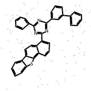 c1ccc(-c2cccc(-c3nc(-c4ccccc4)nc(-c4cccc5c4ccc4c6ccccc6sc54)n3)c2)cc1